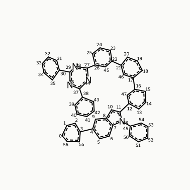 c1ccc(-c2ccc3c(c2)cc(-c2cccc(-c4cccc(-c5cccc(-c6nc(-c7ccccc7)nc(-c7ccccc7)n6)c5)c4)c2)n3-c2ccccc2)cc1